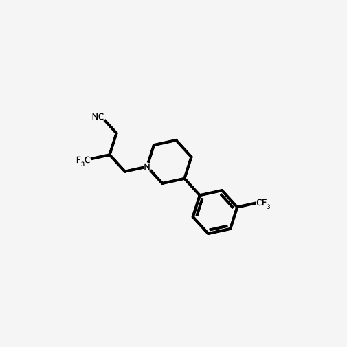 N#CCC(CN1CCCC(c2cccc(C(F)(F)F)c2)C1)C(F)(F)F